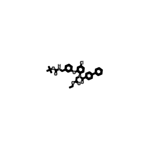 CCOC(=O)CN(C(=O)c1ccc(-c2ccccc2)cc1)c1ccc(Cl)cc1Oc1cccc(CNC(=O)OC(C)(C)C)c1